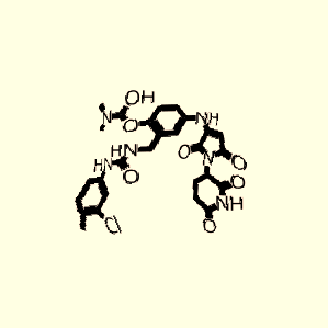 Cc1ccc(NC(=O)NCc2cc(NC3=CC(=O)N(C4CCC(=O)NC4=O)C3=O)ccc2OC(O)N(C)C)cc1Cl